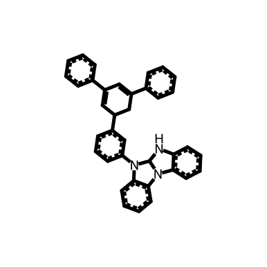 C1=C(c2ccccc2)C=C(c2ccccc2)CC1c1cccc(N2c3ccccc3N3c4ccccc4NC23)c1